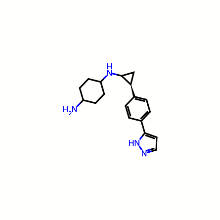 NC1CCC(NC2C[C@H]2c2ccc(-c3ccn[nH]3)cc2)CC1